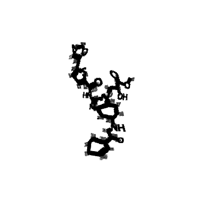 COC(=O)C(O)Cn1c(NC(=O)c2ccc(-c3cnco3)s2)nc2cc(NCC(=O)c3ccccc3)ccc21